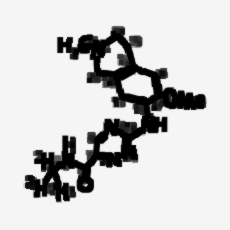 [2H]C([2H])([2H])NC(=O)c1cnc(Nc2cc3c(cc2OC)CCN(C)C3)nn1